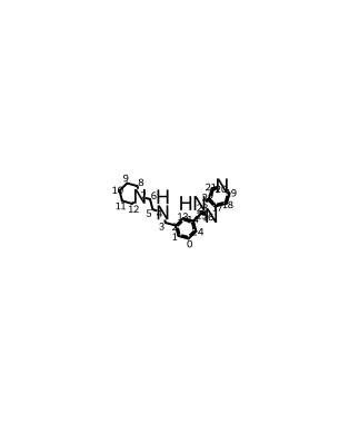 c1cc(CNCCN2CCCCC2)cc(-c2nc3ccncc3[nH]2)c1